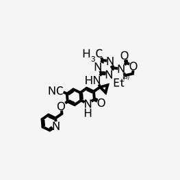 CC[C@H]1COC(=O)N1c1nc(C)nc(NC2(c3cc4cc(C#N)c(OCc5ccccn5)cc4[nH]c3=O)CC2)n1